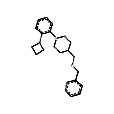 [c]1ccc(N2CCC(COCc3ccccc3)CC2)c(C2CCC2)c1